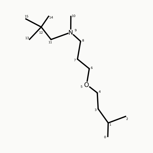 CC(C)CCOCCCN(C)CC(C)(C)C